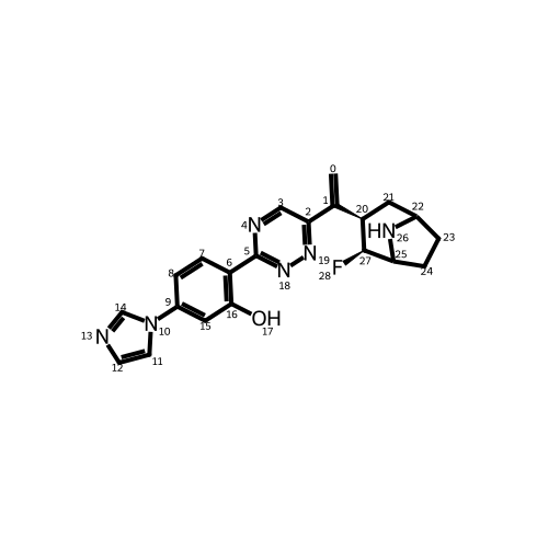 C=C(c1cnc(-c2ccc(-n3ccnc3)cc2O)nn1)[C@H]1CC2CCC(N2)[C@H]1F